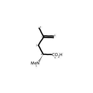 C=C(C)C[C@@H](NC)C(=O)O